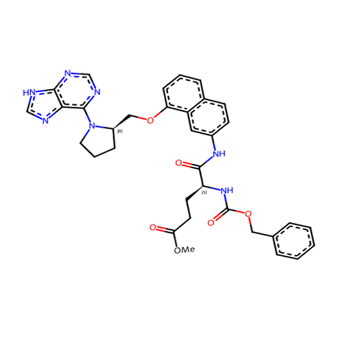 COC(=O)CC[C@H](NC(=O)OCc1ccccc1)C(=O)Nc1ccc2cccc(OC[C@H]3CCCN3c3ncnc4[nH]cnc34)c2c1